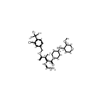 C=C(OCc1ccc(C(F)(F)F)c(Cl)c1)/C(C)=C(\N=C/N)C(=O)N1CCC(NC2CCOCC2OC)CC1